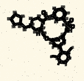 Cc1cccc(C)c1-c1cc2nc(n1)NS(=O)(=O)c1cccc(c1)C(=O)N1CCN(CC3CCCC3)C[C@@H]1CO2